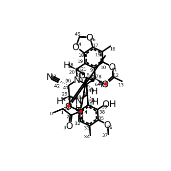 CCC(=O)NC1CS[C@@H]2c3c(OC(C)=O)c(C)c4c(c3[C@H](COC1=O)N1[C@@H]2[C@@H]2N[C@H](Cc3cc(C)c(OC)c(O)c32)[C@@H]1C#N)OCO4